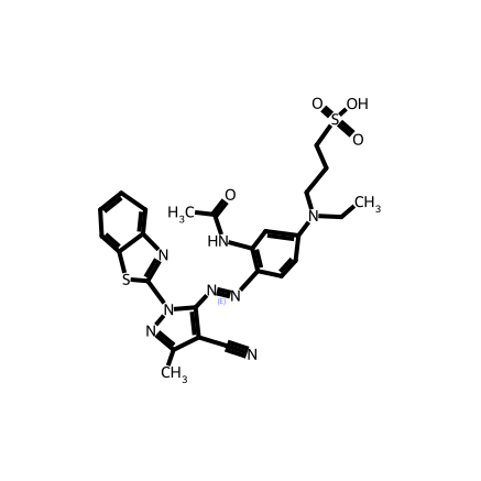 CCN(CCCS(=O)(=O)O)c1ccc(/N=N/c2c(C#N)c(C)nn2-c2nc3ccccc3s2)c(NC(C)=O)c1